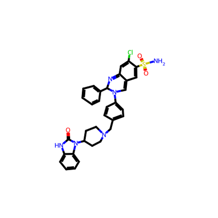 NS(=O)(=O)c1cc2c(cc1Cl)=NC(c1ccccc1)N(c1ccc(CN3CCC(n4c(=O)[nH]c5ccccc54)CC3)cc1)C=2